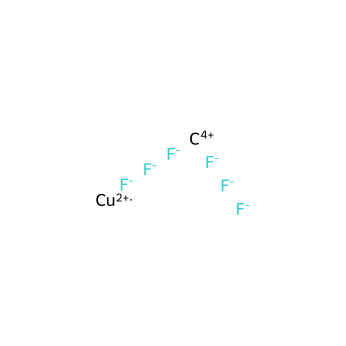 [C+4].[Cu+2].[F-].[F-].[F-].[F-].[F-].[F-]